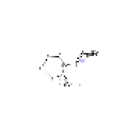 C/N=C1/CCCCN1/C=C/C(C)C